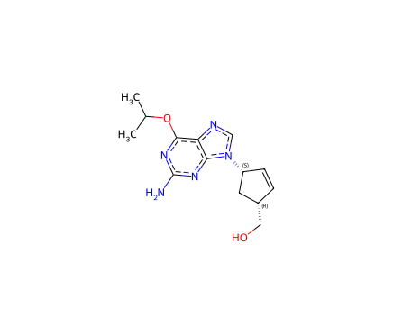 CC(C)Oc1nc(N)nc2c1ncn2[C@@H]1C=C[C@H](CO)C1